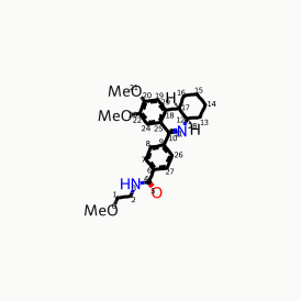 COCCNC(=O)c1ccc(C2=N[C@@H]3CCCC[C@@H]3c3cc(OC)c(OC)cc32)cc1